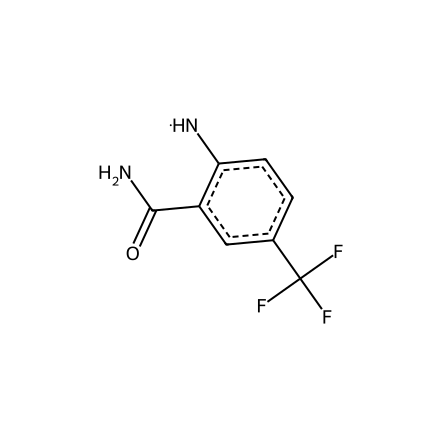 [NH]c1ccc(C(F)(F)F)cc1C(N)=O